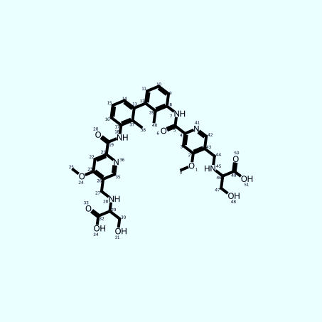 COc1cc(C(=O)Nc2cccc(-c3cccc(NC(=O)c4cc(OC)c(CNC(CO)C(=O)O)cn4)c3C)c2C)ncc1CNC(CO)C(=O)O